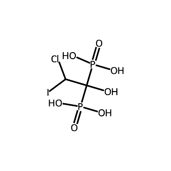 O=P(O)(O)C(O)(C(Cl)I)P(=O)(O)O